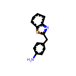 Nc1ccc(Cc2nc3ccccc3s2)cc1